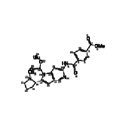 COC(=O)c1ccc(C(=O)Nc2cc3c(cn2)cc([C@@H]2CCCN2C)n3C(=O)OC(C)(C)C)cc1